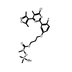 Cc1noc(C)c1-c1nc(-c2cc(OCCCOC(=O)N(C)O[Si](C)(C)C(C)(C)C)ccc2F)nc(Cl)c1C